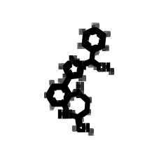 C=C1CCNc2c(cccc2-c2cnn(C(C)c3ccccc3)c2)N1